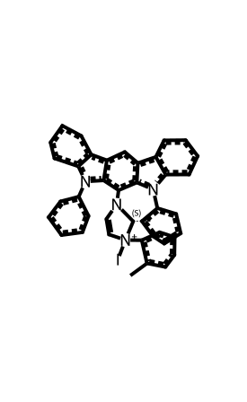 Cc1ccccc1[N+]1(I)C=CN(c2c3c(cc4c5ccccc5n(-c5ccccc5)c24)c2ccccc2n3-c2ccccc2)[C@@H]1C